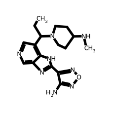 CCC(c1cncc2nc(-c3nonc3N)[nH]c12)N1CCC(NC)CC1